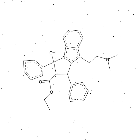 CCOC(=O)C1C(c2ccccc2)c2c(CCN(C)C)c3ccccc3n2C1(O)c1ccccc1